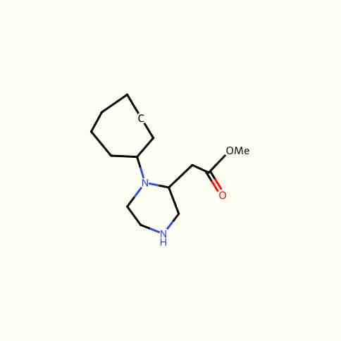 COC(=O)CC1CNCCN1C1CCCCCC1